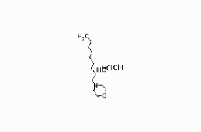 CCCCCCCCCN1CCOCC1.Cl.Cl.Cl